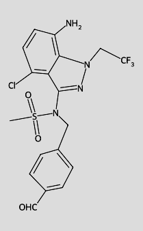 CS(=O)(=O)N(Cc1ccc(C=O)cc1)c1nn(CC(F)(F)F)c2c(N)ccc(Cl)c12